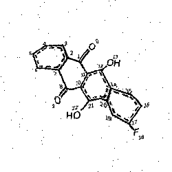 O=C1c2ccccc2C(=O)c2c1c(O)c1ccc(F)cc1c2O